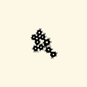 c1ccc(-c2ccc(N(c3ccc(-c4ccccc4)cc3)c3cccc(-c4cccc(-c5c(-c6ccccc6)c6ccccc6c6ccccc56)c4)c3)cc2)cc1